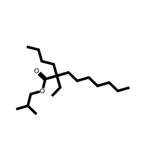 CCCCCCCC(CC)(CCCC)C(=O)OCC(C)C